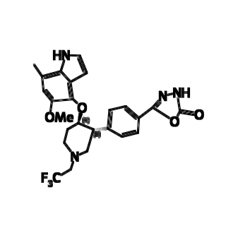 COc1cc(C)c2[nH]ccc2c1O[C@@H]1CCN(CC(F)(F)F)C[C@H]1c1ccc(-c2n[nH]c(=O)o2)cc1